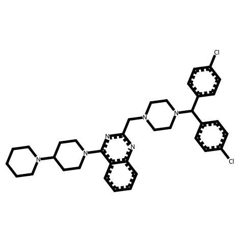 Clc1ccc(C(c2ccc(Cl)cc2)N2CCN(Cc3nc(N4CCC(N5CCCCC5)CC4)c4ccccc4n3)CC2)cc1